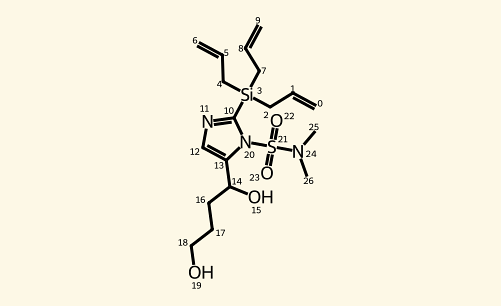 C=CC[Si](CC=C)(CC=C)c1ncc(C(O)CCCO)n1S(=O)(=O)N(C)C